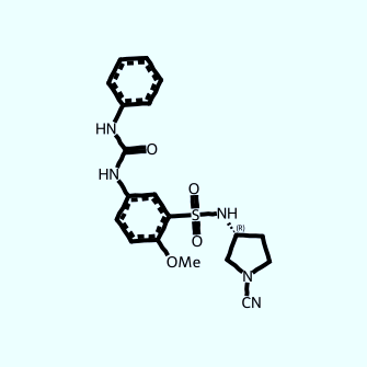 COc1ccc(NC(=O)Nc2ccccc2)cc1S(=O)(=O)N[C@@H]1CCN(C#N)C1